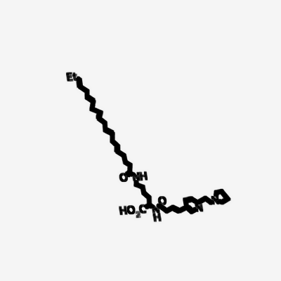 CCC=CCC=CCC=CCC=CCC=CCCCC(=O)NCCCCC(NC(=O)CC=Cc1ccc(CCN2CCCC2)nc1)C(=O)O